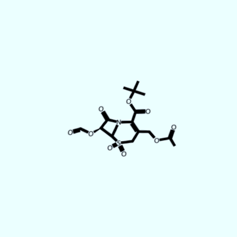 CC(=O)OCC1=C(C(=O)OC(C)(C)C)N2C(=O)[C@H](OC=O)C2S(=O)(=O)C1